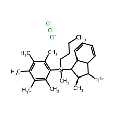 CCCC[Si](C)(c1c(C)c(C)c(C)c(C)c1C)C1C(C)[CH]([Ti+3])C2C=CC=CC21.[Cl-].[Cl-].[Cl-]